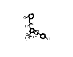 NS(=O)(=O)c1cc(NC(=O)Cc2ccccc2Cl)cc2nc(-c3ccc(Cl)cc3)oc12